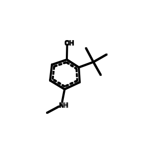 CNc1ccc(O)c(C(C)(C)C)c1